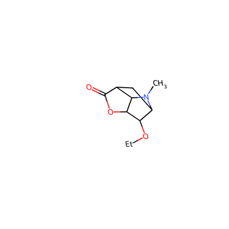 CCOC1C2OC(=O)C3CC1N(C)C32